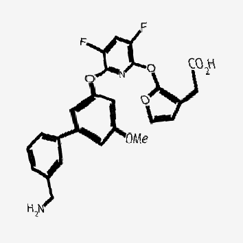 COc1cc(Oc2nc(Oc3occc3CC(=O)O)c(F)cc2F)cc(-c2cccc(CN)c2)c1